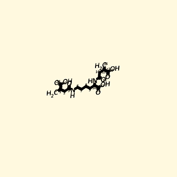 C=C(CC(=O)NCCCCC(NC(=O)CC(=C)C(=O)O)C(=O)O)C(=O)O